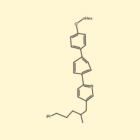 CCCCCCOc1ccc(-c2ccc(-c3ccc(CC(C)CCCC(C)C)cn3)cc2)cc1